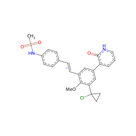 COc1c(/C=C/c2ccc(NS(C)(=O)=O)cc2)cc(-c2ccc[nH]c2=O)cc1C1(Cl)CC1